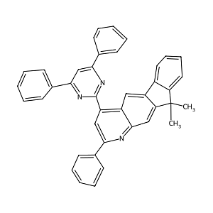 CC1(C)c2ccccc2-c2cc3c(-c4nc(-c5ccccc5)cc(-c5ccccc5)n4)cc(-c4ccccc4)nc3cc21